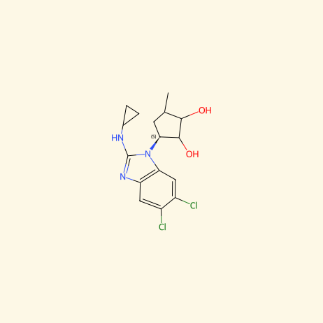 CC1C[C@H](n2c(NC3CC3)nc3cc(Cl)c(Cl)cc32)C(O)C1O